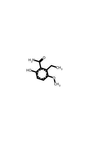 CCc1c(OC)ccc(O)c1C(N)=O